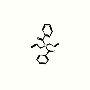 C=CC[Si](CC=C)(C(=O)c1ccccc1)C(=O)c1ccccc1